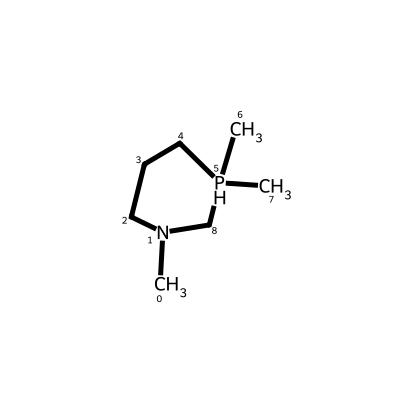 CN1CCC[PH](C)(C)C1